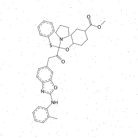 COC(=O)C1CCC(OC(Sc2ccccc2)(C(=O)Cc2ccc3nc(Nc4ccccc4C)oc3c2)N2CCCC2)CC1